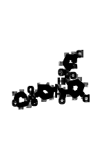 O=C(Nc1ccc(S(=O)(=O)N2CCOCC2)cc1)c1cc(Cl)ccc1NS(=O)(=O)c1ccc(Cl)s1